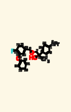 CCCc1ccc(C(O)(COCc2ccc(F)c(Oc3ccccc3)c2)C(F)(F)F)cc1